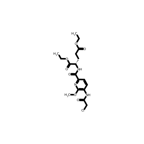 CCOC(=O)CC[C@H](NC(=O)c1ccc(NC(=O)CCl)c(OC)n1)C(=O)OCC